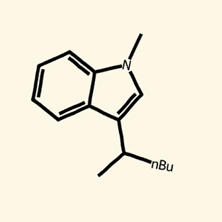 CCCCC(C)c1cn(C)c2ccccc12